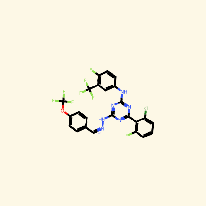 Fc1ccc(Nc2nc(N/N=C\c3ccc(OC(F)(F)F)cc3)nc(-c3c(F)cccc3Cl)n2)cc1C(F)(F)F